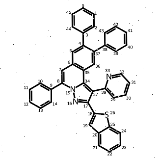 c1ccc(-c2cc3cc(-c4ccccc4)n4nc(-c5cc6ccccc6s5)c(-c5ccccn5)c4c3cc2-c2ccccc2)cc1